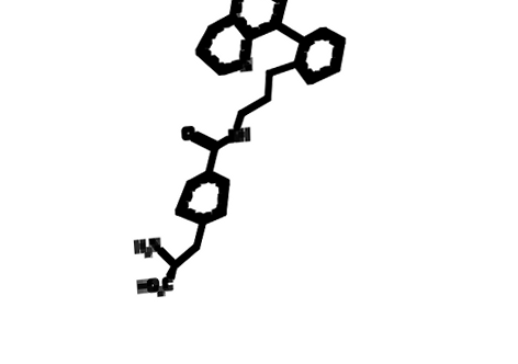 N[C@@H](Cc1ccc(C(=O)NCCCc2ccccc2-c2cccc3cccnc23)cc1)C(=O)O